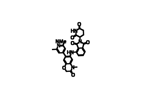 CNc1cc(-c2cc3c(cc2Nc2cccc4c2C(=O)N(C2CCC(=O)NC2=O)C4=O)N(C)C(=O)CO3)cc(C)n1